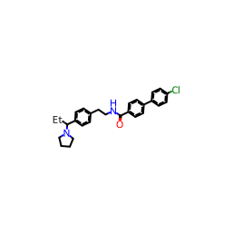 CCC(c1ccc(CCNC(=O)c2ccc(-c3ccc(Cl)cc3)cc2)cc1)N1CCCC1